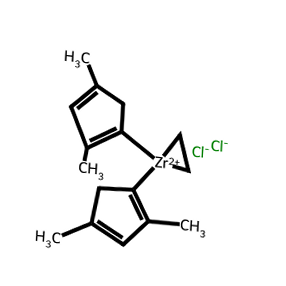 CC1=CC(C)=[C]([Zr+2]2([C]3=C(C)C=C(C)C3)[CH2][CH2]2)C1.[Cl-].[Cl-]